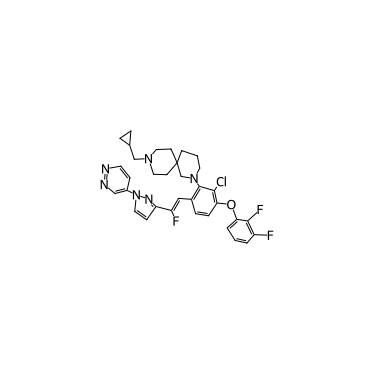 F/C(=C\c1ccc(Oc2cccc(F)c2F)c(Cl)c1N1CCCC2(CCN(CC3CC3)CC2)C1)c1ccn(-c2ccnnc2)n1